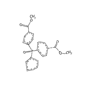 COC(=O)c1ccc(P(=O)(c2ccccc2)c2ccc(C(=O)OC)cc2)cc1